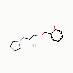 C[C@@H](OC[C@H](O)CN1CCCC1)c1ccccc1Br